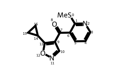 CSc1ncccc1C(=O)c1cnoc1C1CC1